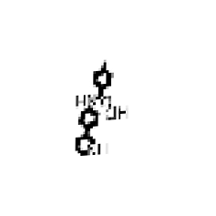 Cc1ccc(C(=O)Nc2ccc(C3CCCNC3)cc2)cc1.Cl